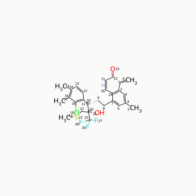 C=Cc1cc(C)cc(CC[C@@H](c2ccc(C)c(C)c2Cl)[C@](O)(CSC)C(F)(F)F)c1/C=C\C=O